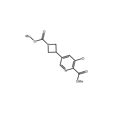 COC(=O)c1ncc(C2CN(C(=O)OC(C)(C)C)C2)cc1Cl